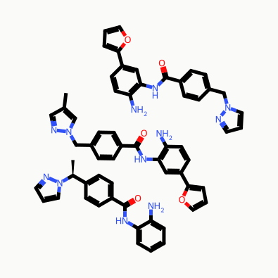 C[C@@H](c1ccc(C(=O)Nc2ccccc2N)cc1)n1cccn1.Cc1cnn(Cc2ccc(C(=O)Nc3cc(-c4ccco4)ccc3N)cc2)c1.Nc1ccc(-c2ccco2)cc1NC(=O)c1ccc(Cn2cccn2)cc1